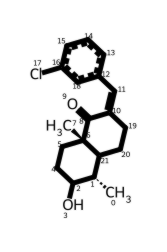 C[C@@H]1C(O)CC[C@]2(C)C(=O)/C(=C\c3cccc(Cl)c3)CCC12